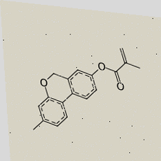 C=C(C)C(=O)Oc1ccc2c(c1)COc1cc(C)ccc1-2